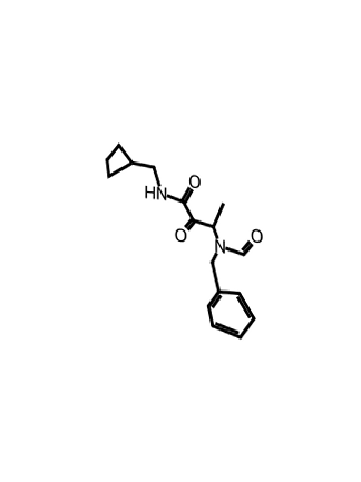 CC(C(=O)C(=O)NCC1CCC1)N(C=O)Cc1ccccc1